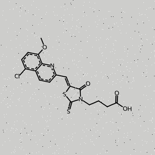 COc1ccc(Cl)c2ccc(/C=C3\SC(=S)N(CCCC(=O)O)C3=O)nc12